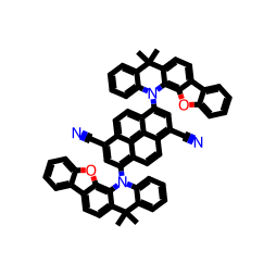 CC1(C)c2ccccc2N(c2cc(C#N)c3ccc4c(N5c6ccccc6C(C)(C)c6ccc7c(oc8ccccc87)c65)cc(C#N)c5ccc2c3c54)c2c1ccc1c2oc2ccccc21